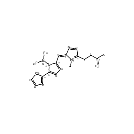 CC(=O)CCC1=[N+](C)/C(=C\c2ccc(-c3cccs3)n2B(F)F)C=C1